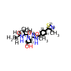 BBC(=O)NC(C(=O)N1C[C@H](O)C[C@H]1C1=NOC(C)(c2ccc(-c3scnc3C)cc2)N1)C(C)(C)C